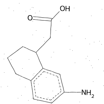 Nc1ccc2c(c1)C(CC(=O)O)CCC2